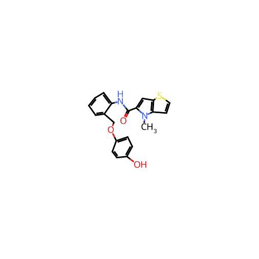 Cn1c(C(=O)Nc2ccccc2COc2ccc(O)cc2)cc2sccc21